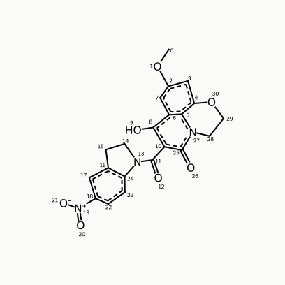 COc1cc2c3c(c1)c(O)c(C(=O)N1CCc4cc([N+](=O)[O-])ccc41)c(=O)n3CCO2